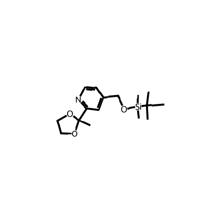 CC1(c2cc(CO[Si](C)(C)C(C)(C)C)ccn2)OCCO1